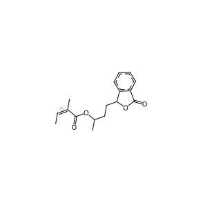 C/C=C(/C)C(=O)OC(C)CCC1OC(=O)c2ccccc21